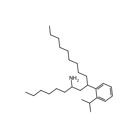 CCCCCCCCCC(CC(N)CCCCCC)c1ccccc1C(C)C